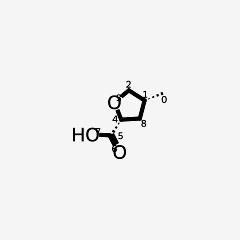 C[C@H]1CO[C@@H](C(=O)O)C1